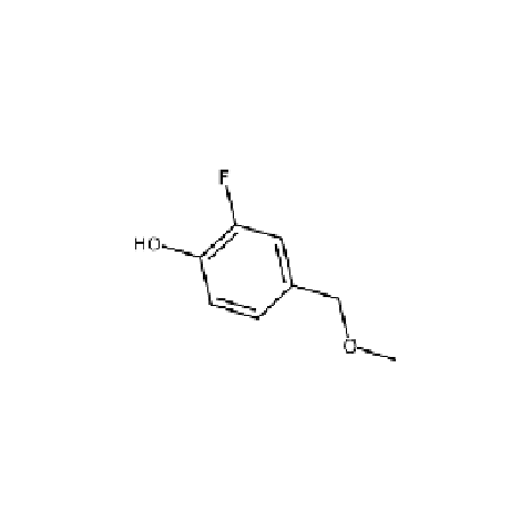 COCc1ccc(O)c(F)c1